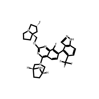 Fc1c(-c2c(C(F)(F)F)ccc3[nH]ncc23)ccc2c(N3C[C@H]4CC[C@@H](C3)N4)nc(OC[C@@]34CCCN3C[C@H](F)C4)nc12